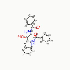 O=C(NCC(O)C(Cc1ccccc1)NC(=O)c1ccccc1)c1ccccc1